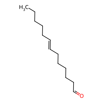 CCCCCC=CCCCCCC=O